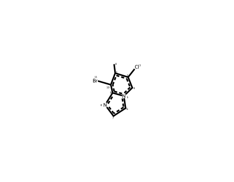 Cc1c(Cl)cn2ccnc2c1Br